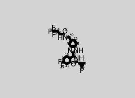 C[C@@H](NC(=O)CCC(F)(F)F)c1ccc2[nH]c([C@@H](NC(=O)[C@H]3C[C@@H]3F)C3CCC(F)(F)CC3)nc2c1